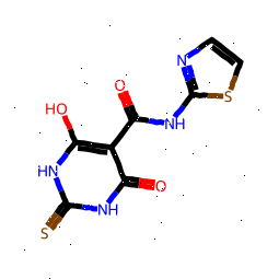 O=C(Nc1nccs1)c1c(O)[nH]c(=S)[nH]c1=O